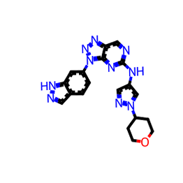 c1nn(C2CCOCC2)cc1Nc1ncc2nnn(-c3ccc4cn[nH]c4c3)c2n1